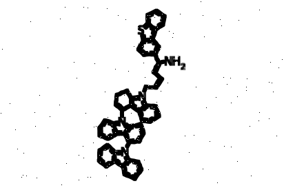 N/C(=C\C=C/Cn1c2c(c3ccccc31)C(n1c3ccccc3c3c(-n4c5ccccc5c5ccccc54)cccc31)=CCC2)c1ccc2sc3ccccc3c2c1